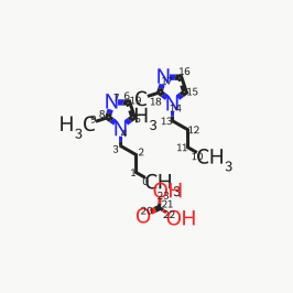 CCCCn1ccnc1C.CCCCn1ccnc1C.O=C(O)O